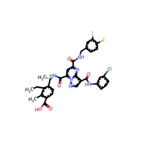 CCc1c([C@H](C)NC(=O)c2cc(C(=O)NCc3ccc(F)c(F)c3)nc3c(C(=O)Nc4cccc(Cl)c4)cnn23)ccc(C(=O)O)c1C